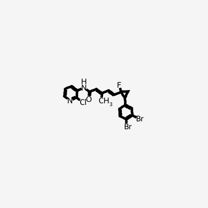 CC(/C=C/C1(F)CC1c1ccc(Br)c(Br)c1)=C\C(=O)Nc1cccnc1Cl